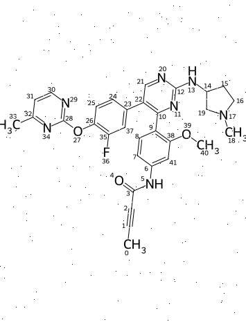 CC#CC(=O)Nc1ccc(-c2nc(NC3CCN(C)C3)ncc2-c2ccc(Oc3nccc(C)n3)c(F)c2)c(OC)c1